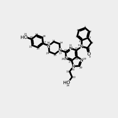 O=C1Cc2ccccc2N1c1nc(N2CCN(c3ccc(O)cc3)CC2)nc2c1ncn2CCO